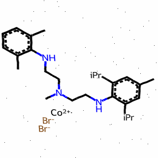 Cc1cc(C(C)C)c(NCCN(C)CCNc2c(C)cccc2C)c(C(C)C)c1.[Br-].[Br-].[Co+2]